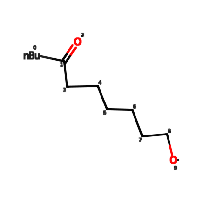 CCCCC(=O)CCCCCC[O]